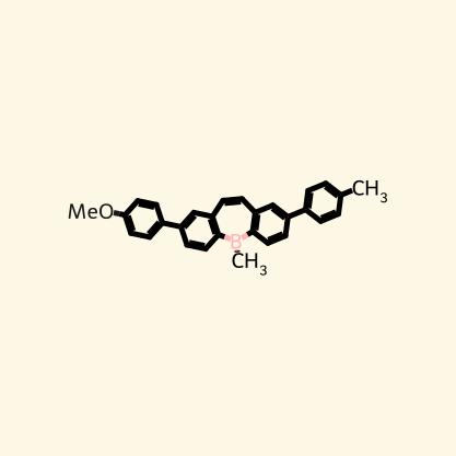 COc1ccc(-c2ccc3c(c2)C=Cc2cc(-c4ccc(C)cc4)ccc2B3C)cc1